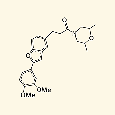 COc1ccc(-c2cc3cc(CCC(=O)N4CC(C)OC(C)C4)ccc3o2)cc1OC